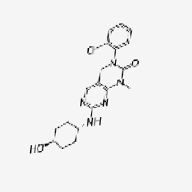 CN1C(=O)N(c2ccccc2Cl)Cc2cnc(N[C@H]3CC[C@H](O)CC3)nc21